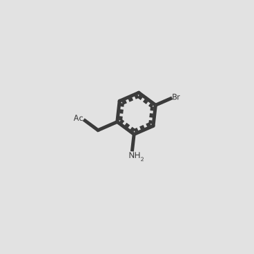 CC(=O)Cc1ccc(Br)cc1N